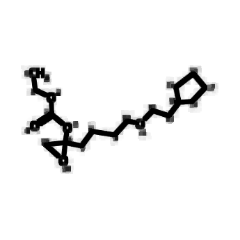 CCOC(=O)OC1(CCCCOCCC2CCCC2)CO1